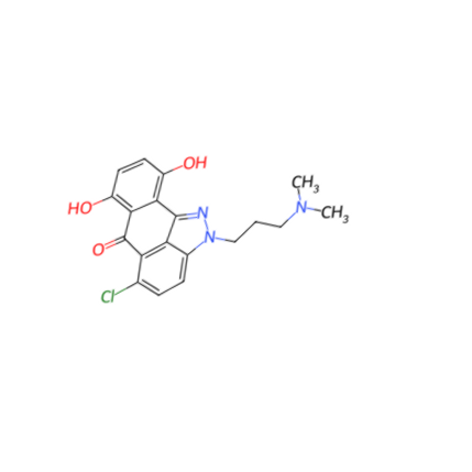 CN(C)CCCn1nc2c3c(c(Cl)ccc31)C(=O)c1c(O)ccc(O)c1-2